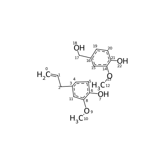 C=CCc1ccc(O)c(OC)c1.COc1cc(CO)ccc1O